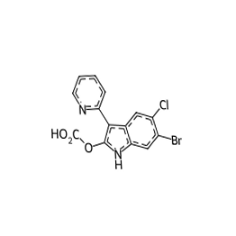 O=C(O)Oc1[nH]c2cc(Br)c(Cl)cc2c1-c1ccccn1